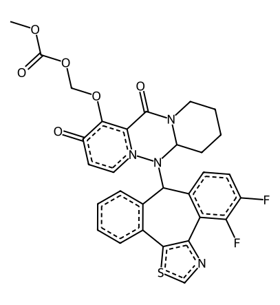 COC(=O)OCOc1c2n(ccc1=O)N(C1c3ccccc3-c3scnc3-c3c1ccc(F)c3F)C1CCCCN1C2=O